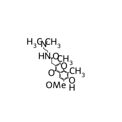 COc1cc2c(=O)c(CC(=O)NCCN(C)C)c(C)oc2c(C)c1O